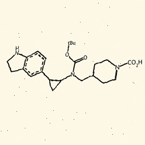 CC(C)(C)OC(=O)N(CC1CCN(C(=O)O)CC1)C1CC1c1ccc2c(c1)CCN2